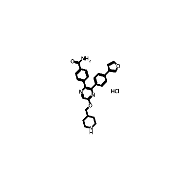 Cl.NC(=O)c1ccc(-c2ncc(OCC3CCNCC3)nc2-c2ccc(-c3ccoc3)cc2)cc1